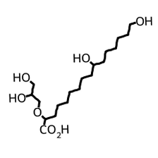 O=C(O)C(CCCCCCCC(O)CCCCCCO)OCC(O)CO